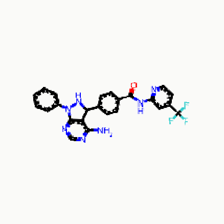 Nc1ncnc2c1C(c1ccc(C(=O)Nc3cc(C(F)(F)F)ccn3)cc1)NN2c1ccccc1